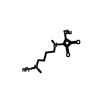 CCCN(C)CCCCN(C)c1c(C(C)(C)C)c(=O)c1=O